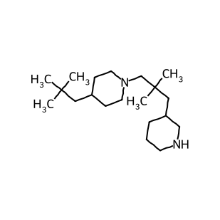 CC(C)(C)CC1CCN(CC(C)(C)CC2CCCNC2)CC1